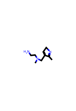 CC1=NCC=C1CN(C)CCN